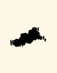 CC[C@H](C)[C@@H]([C@@H](CC(=O)N1CCC[C@H]1[C@H](OC)[C@@H](C)C(=O)N[C@H](C)[C@@H](OC(=O)N(C)CCN(C)C(=O)OCc1ccc(O[C@@H]2O[C@H](C(=O)O)[C@@H](O)[C@H](O)[C@H]2O)cc1)c1ccccc1)OC)N(C)C(=O)[C@@H](NC(=O)[C@H](C(C)C)N(C)C(=O)OCc1ccc(NC(=O)[C@H](CCCCN)NC(=O)[C@@H](NC(=O)[C@H](CCCC(=O)O)NC(=O)CCN2C(=O)C=CC2=O)C(C)C)cc1)C(C)C